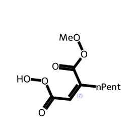 CCCCC/C(=C/C(=O)OO)C(=O)OOC